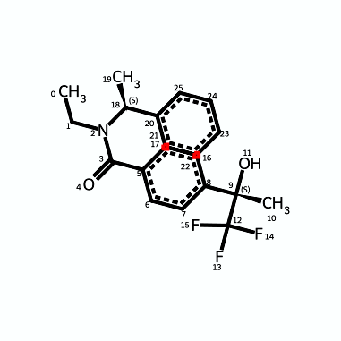 CCN(C(=O)c1ccc([C@](C)(O)C(F)(F)F)cc1)[C@@H](C)c1ccccc1